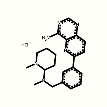 CN1CCCCC1N(C)Cc1cccc(-c2ccc3ncnc(N)c3n2)c1.Cl